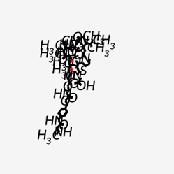 CCC(C)C(C(CC(=O)N1CCCC1C(OC)C(C)C(=S)NCC(=O)O)OC)N(C)C(=O)CNC(=O)C(C(C)C)N(C)C(=O)CCOCCOCCOCNC(=O)OCc1ccc(NC(=O)CNC)cc1